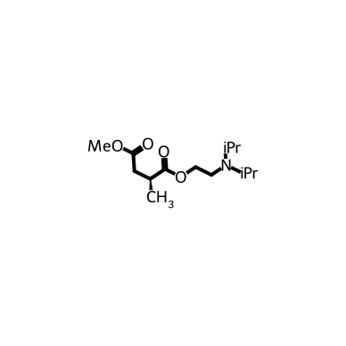 COC(=O)C[C@H](C)C(=O)OCCN(C(C)C)C(C)C